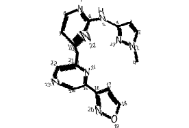 Cn1ccc(Nc2nccc(-c3cncc(-c4ccon4)n3)n2)n1